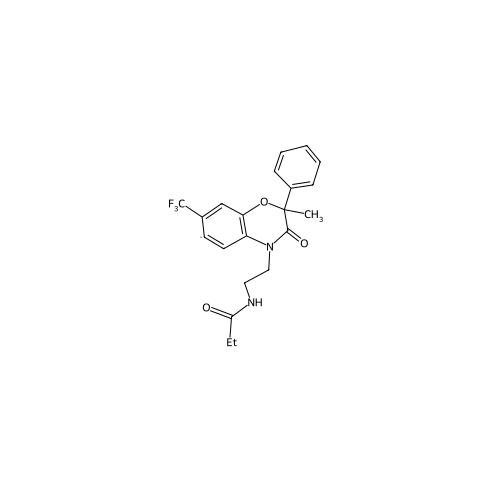 CCC(=O)NCCN1C(=O)C(C)(c2ccccc2)Oc2cc(C(F)(F)F)[c]cc21